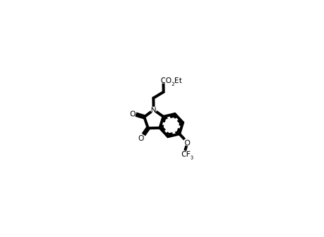 CCOC(=O)CCN1C(=O)C(=O)c2cc(OC(F)(F)F)ccc21